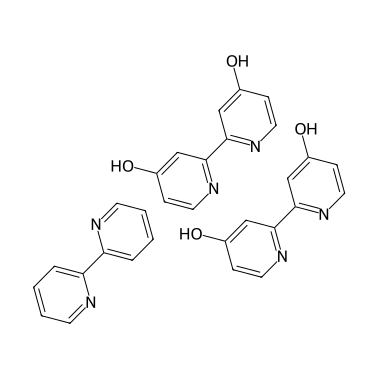 Oc1ccnc(-c2cc(O)ccn2)c1.Oc1ccnc(-c2cc(O)ccn2)c1.c1ccc(-c2ccccn2)nc1